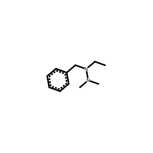 CCN(Cc1ccccc1)N(C)C